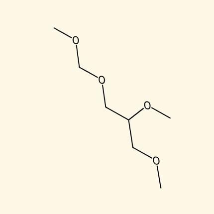 COCOCC(COC)OC